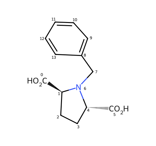 O=C(O)[C@@H]1CC[C@@H](C(=O)O)N1Cc1ccccc1